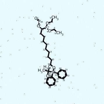 CCOP(OCC)C(CCCCCCCCCO[Si](c1ccccc1)(c1ccccc1)C(C)(C)C)OP=O